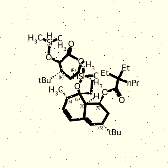 CCCC(CC)(CC)C(=O)O[C@H]1C[C@H](C(C)(C)C)C=C2C=C[C@H](C)[C@](CC[C@@H]3C[C@H](C(C)(C)C)C(O[SiH](C)C)C(=O)O3)(O[SiH](C)C)[C@H]21